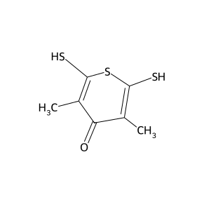 Cc1c(S)sc(S)c(C)c1=O